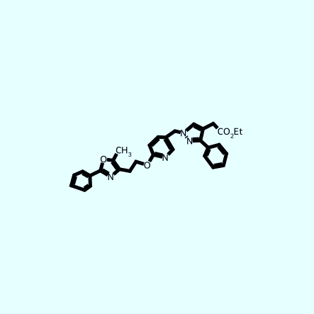 CCOC(=O)Cc1cn(Cc2ccc(OCCc3nc(-c4ccccc4)oc3C)nc2)nc1-c1ccccc1